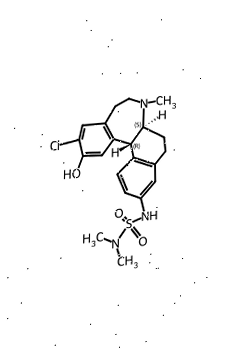 CN1CCc2cc(Cl)c(O)cc2[C@H]2c3ccc(NS(=O)(=O)N(C)C)cc3CC[C@@H]21